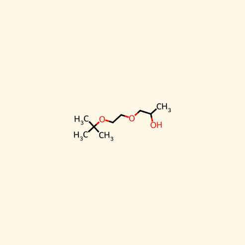 CC(O)COCCOC(C)(C)C